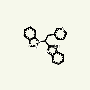 c1cncc(CC(c2nc3ccccc3[nH]2)n2nnc3ccccc32)c1